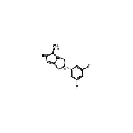 C=C1NC=C2C[C@@H](c3cc(F)cc(F)c3)CN12